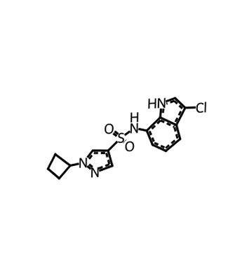 O=S(=O)(Nc1cccc2c(Cl)c[nH]c12)c1cnn(C2CCC2)c1